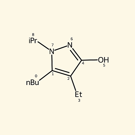 CCCCc1c(CC)c(O)nn1C(C)C